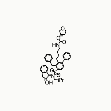 CC(C)CN([C@H]1c2ccccc2C[C@H]1O)S(=O)(=O)c1ccc(-c2ccccc2)c(CCCCNC(=O)O[C@H]2CCOC2)c1Cc1ccccc1